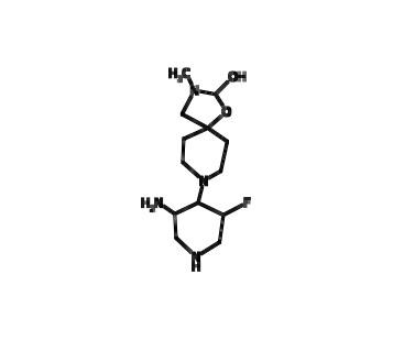 CN1CC2(CCN(C3C(N)CNCC3F)CC2)OC1O